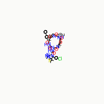 Cc1sc2c(c1C)C(c1ccc(Cl)cc1)=N[C@@H](CC(=O)NC[C@H]1NC(=O)[C@@H](C)NC(=O)[C@@H](Cc3ccc(-c4ccccc4)cc3)CC(=O)[C@@H]3CCCN3C(=O)C(C(C)(C)C)NC(=O)COCCN(C)C1=O)c1nnc(C)n1-2